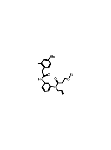 C=CCN(C(=O)CCOCC)c1cccc(NC(=O)Cc2ccc(C(C)(C)C)cc2C)c1